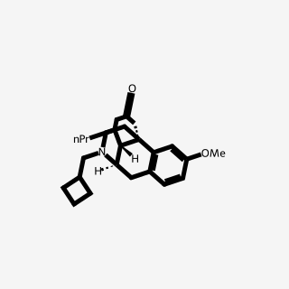 CCCC1CC(=O)C[C@]23CCN(CC4CCC4)[C@H](Cc4ccc(OC)cc42)[C@H]13